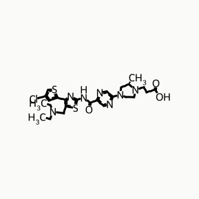 CCN(CC)Cc1sc(NC(=O)c2cnc(N3CCN(CCC(=O)O)[C@H](C)C3)cn2)nc1-c1cc(Cl)cs1